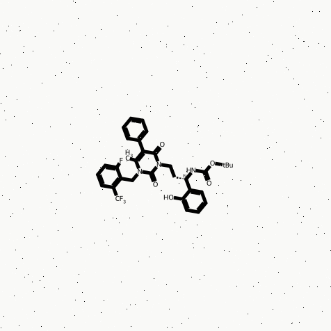 Cc1c(-c2ccccc2)c(=O)n(CC[C@H](NC(=O)OC(C)(C)C)c2ccccc2O)c(=O)n1Cc1c(F)cccc1C(F)(F)F